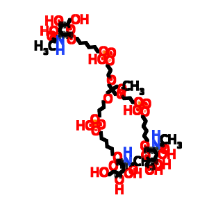 COCC(COCCCCOP(=O)(O)OCCCCCCO[C@@H]1OC(CO)[C@H](O)C(O)[C@@H]1NC(C)=O)(COCCCOP(=O)(O)OCCCCCCO[C@@H]1OC(CO)[C@H](O)C(O)[C@@H]1NC(C)=O)COCCCOP(=O)(O)OCCCCCCO[C@@H]1OC(CO)[C@H](O)C(O)[C@@H]1NC(C)=O